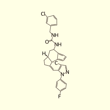 O=C(NCc1cccc(Cl)c1)NC1C[C@H]2CCC3=Cc4c(cnn4-c4ccc(F)cc4)C[C@]32c2ccccc21